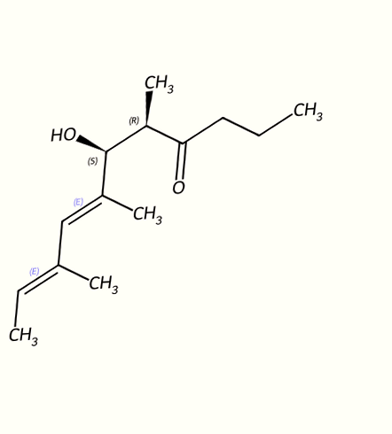 C/C=C(C)/C=C(\C)[C@@H](O)[C@@H](C)C(=O)CCC